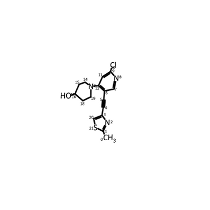 Cc1nc(C#Cc2cnc(Cl)cc2N2CCC(O)CC2)cs1